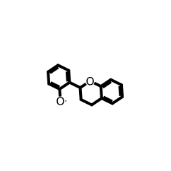 [O]c1ccccc1C1CCc2ccccc2O1